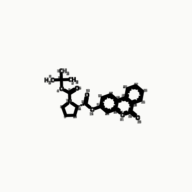 CC(C)(C)OC(=O)N1CCC[C@H]1C(=O)Oc1ccc2c(c1)oc(=O)c1ccccc12